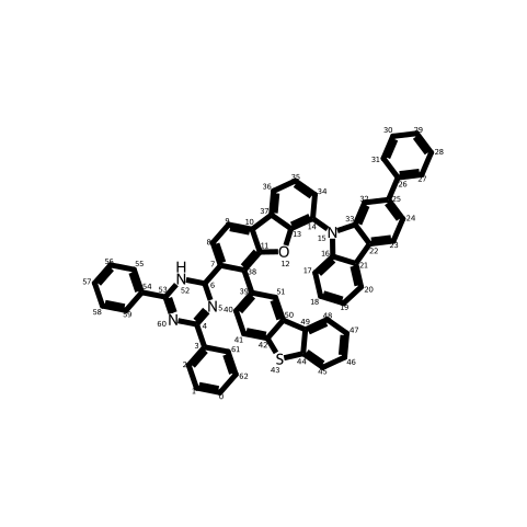 c1ccc(C2=NC(c3ccc4c(oc5c(-n6c7ccccc7c7ccc(-c8ccccc8)cc76)cccc54)c3-c3ccc4sc5ccccc5c4c3)NC(c3ccccc3)=N2)cc1